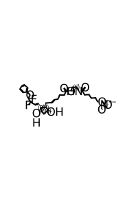 C[C@@H](COC(=O)CCCC=CC[C@@H]1[C@@H](C=CC(F)(F)COc2ccccc2)[C@H](O)C[C@@H]1O)NC(=O)CCCCCO[N+](=O)[O-]